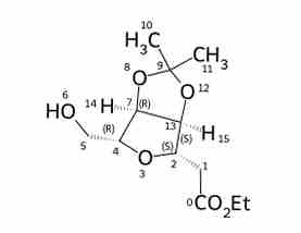 CCOC(=O)C[C@@H]1O[C@H](CO)[C@H]2OC(C)(C)O[C@H]21